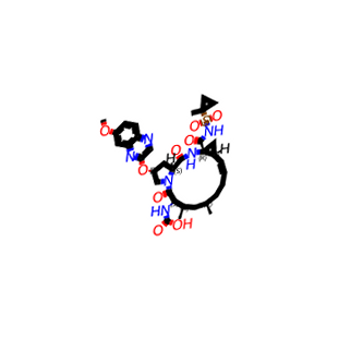 COc1ccc2ncc(O[C@@H]3C[C@H]4C(=O)N[C@]5(C(=O)NS(=O)(=O)C6(C)CC6)C[C@H]5C=CCC[C@@H](C)C[C@@H](C)[C@H](NC(=O)O)C(=O)N4C3)nc2c1